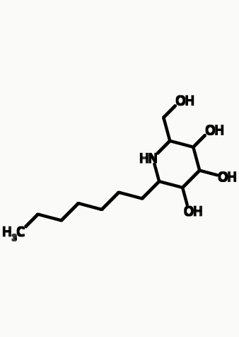 CCCCCCCC1NC(CO)C(O)C(O)C1O